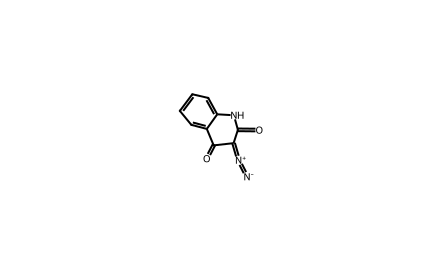 [N-]=[N+]=C1C(=O)Nc2ccccc2C1=O